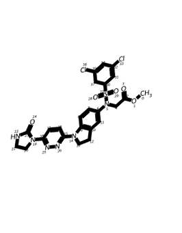 COC(=O)CN(c1ccc2c(c1)CCN2c1ccc(N2CCNC2=O)nn1)S(=O)(=O)C1C=C(Cl)C=C(Cl)C1